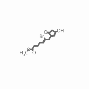 COC(=O)CCCC=C(Br)CC1=CC(O)CC1=O